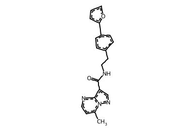 Cc1ccnc2c(C(=O)NCCc3ccc(-c4ccco4)cc3)cnn12